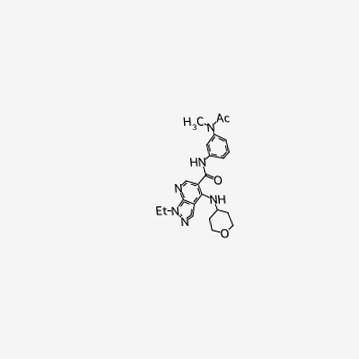 CCn1ncc2c(NC3CCOCC3)c(C(=O)Nc3cccc(N(C)C(C)=O)c3)cnc21